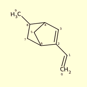 C=CC1=CC2CC1CC2C